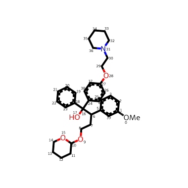 COc1cccc(C(CCOC2CCCCO2)C(O)(c2ccccc2)c2ccc(OCCN3CCCCC3)cc2)c1